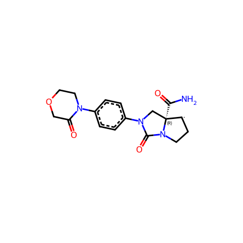 NC(=O)[C@]12[CH]CCN1C(=O)N(c1ccc(N3CCOCC3=O)cc1)C2